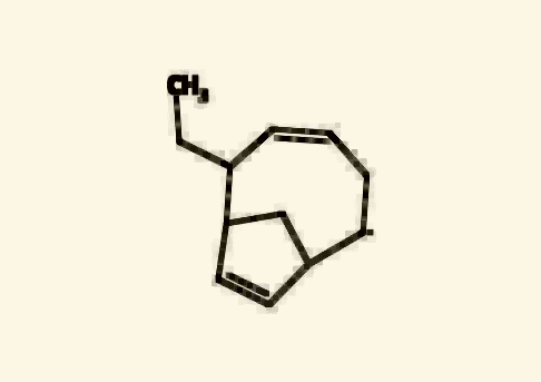 CCC1C=CC[CH]C2C=CC1C2